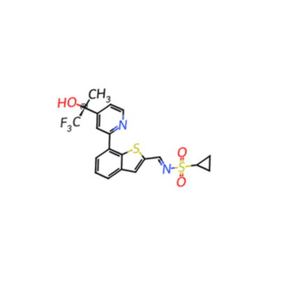 C[C@@](O)(c1ccnc(-c2cccc3cc(C=NS(=O)(=O)C4CC4)sc23)c1)C(F)(F)F